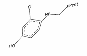 CCCCCCPc1ccc(O)cc1Cl